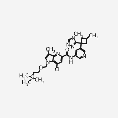 Cc1cn(COCC[Si](C)(C)C)c2c(Cl)cc(C(=O)Nc3cncc(C4(c5nncn5C)CC(C)C4)c3)nc12